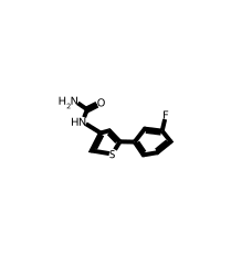 NC(=O)Nc1csc(-c2cccc(F)c2)c1